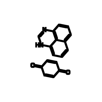 C1=Nc2cccc3cccc(c23)N1.O=C1C=CC(=O)C=C1